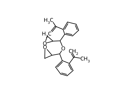 C=C(C)c1ccccc1C(OC(c1ccccc1C(=C)C)C1CO1)C1CO1